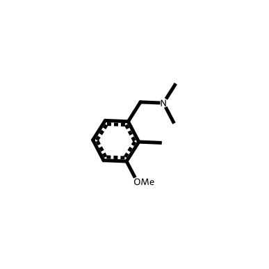 COc1cccc(CN(C)C)c1C